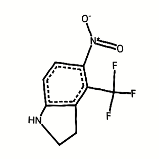 O=[N+]([O-])c1ccc2c(c1C(F)(F)F)CCN2